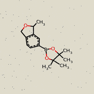 CC1OCc2ccc(B3OC(C)(C)C(C)(C)O3)cc21